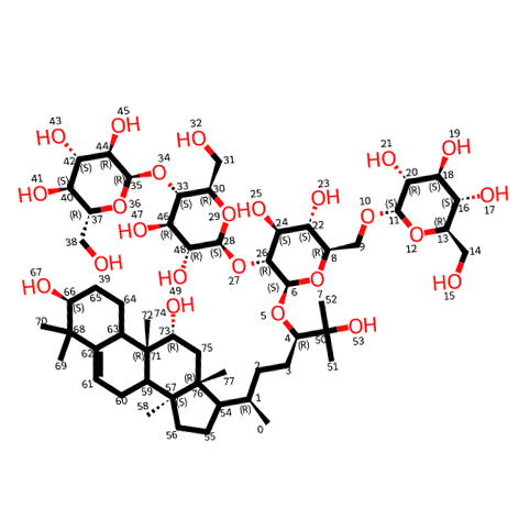 C[C@H](CC[C@@H](O[C@@H]1O[C@H](CO[C@H]2O[C@H](CO)[C@@H](O)[C@H](O)[C@H]2O)[C@@H](O)[C@H](O)[C@H]1O[C@@H]1O[C@H](CO)[C@@H](O[C@H]2O[C@H](CO)[C@@H](O)[C@H](O)[C@H]2O)[C@H](O)[C@H]1O)C(C)(C)O)C1CC[C@@]2(C)C3CC=C4C(CC[C@H](O)C4(C)C)[C@]3(C)[C@H](O)C[C@]12C